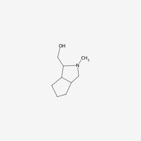 CN1CC2CCCC2C1CO